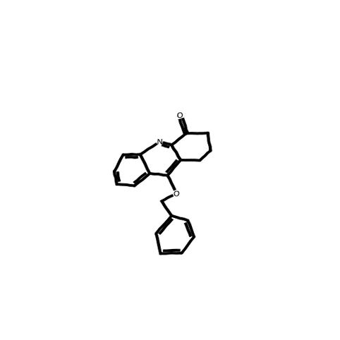 O=C1CCCc2c1nc1ccccc1c2OCc1ccccc1